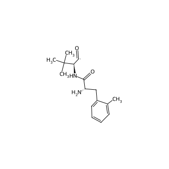 Cc1ccccc1C[C@H](N)C(=O)N[C@H]([C]=O)C(C)(C)C